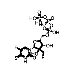 O=c1[nH]c(=S)c(F)cn1[C@@H]1O[C@H](COP(=O)(O)OP(=O)(O)OP(=O)(O)O)[C@H](O)C1(O)CF